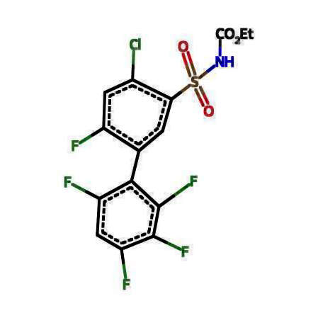 CCOC(=O)NS(=O)(=O)c1cc(-c2c(F)cc(F)c(F)c2F)c(F)cc1Cl